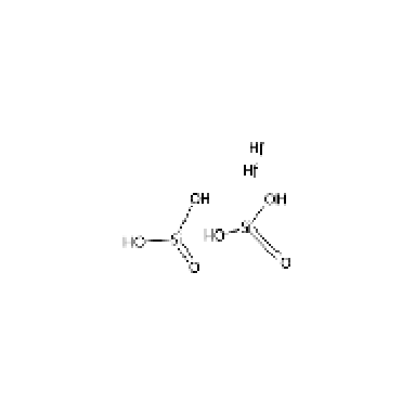 O=[Si](O)O.O=[Si](O)O.[Hf].[Hf]